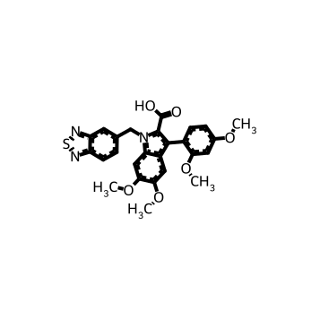 COc1ccc(-c2c(C(=O)O)n(Cc3ccc4nsnc4c3)c3cc(OC)c(OC)cc23)c(OC)c1